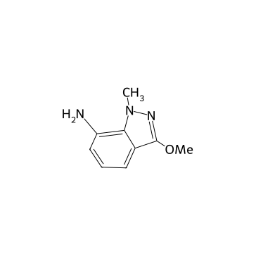 COc1nn(C)c2c(N)cccc12